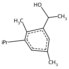 Cc1cc(C(C)C)c(C)c(C(C)O)c1